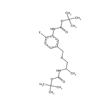 CC(COCc1ccc(F)c(NC(=O)OC(C)(C)C)c1)NC(=O)OC(C)(C)C